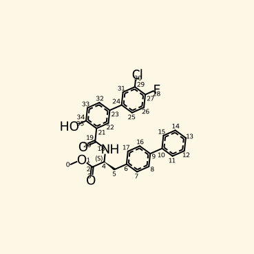 COC(=O)[C@H](Cc1ccc(-c2ccccc2)cc1)NC(=O)c1cc(-c2ccc(F)c(Cl)c2)ccc1O